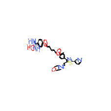 N=C(NO)c1ccc(OCCCCCOc2ccc(-c3nc(-c4cccnc4)sc3CCN3CCOCC3)cc2)cc1